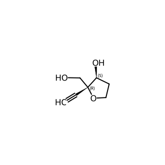 C#C[C@]1(CO)OCC[C@@H]1O